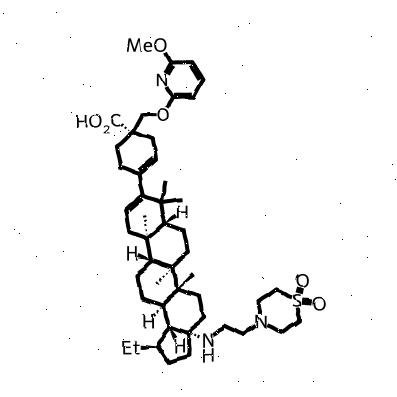 CC[C@@H]1CC[C@]2(NCCN3CCS(=O)(=O)CC3)CC[C@]3(C)[C@H](CC[C@@H]4[C@@]5(C)CC=C(C6=CC[C@@](COc7cccc(OC)n7)(C(=O)O)CC6)C(C)(C)[C@@H]5CC[C@]43C)[C@@H]12